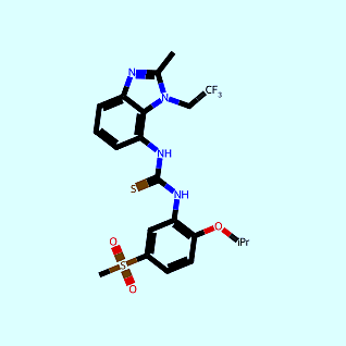 Cc1nc2cccc(NC(=S)Nc3cc(S(C)(=O)=O)ccc3OC(C)C)c2n1CC(F)(F)F